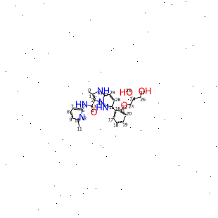 CC1=C(C(=O)Nc2cccc(C)n2)N2NC(c3ccccc3OC[C@H](O)CO)C=CC2N1